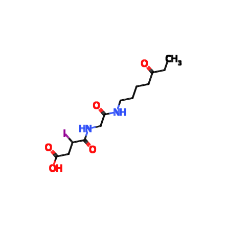 CCC(=O)CCCCNC(=O)CNC(=O)C(I)CC(=O)O